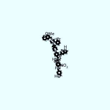 COc1cc(CN2CCN(C3CC4(CCN(c5ccc(C(=O)NS(=O)(=O)c6ccc(NCC7CCC(C)(O)CC7)c([N+](=O)[O-])c6)c(Oc6cnc7[nH]ccc7c6)c5)CC4)C3)[C@H](c3ccccc3C(C)C)C2)cc2c1OCCC2